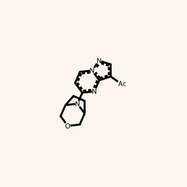 CC(=O)c1cnn2ccc(N3C4CCC3COC4)nc12